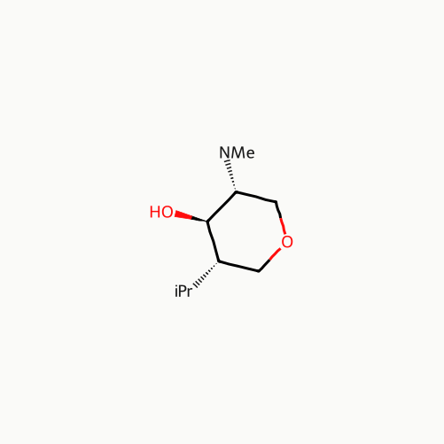 CN[C@@H]1COC[C@H](C(C)C)[C@H]1O